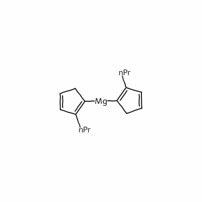 CCCC1=[C]([Mg][C]2=C(CCC)C=CC2)CC=C1